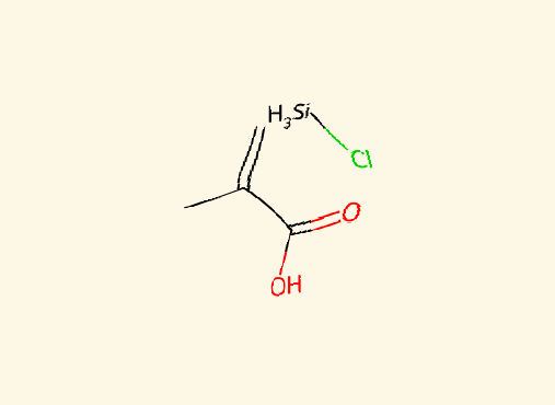 C=C(C)C(=O)O.[SiH3]Cl